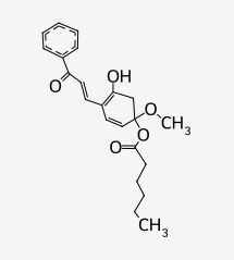 CCCCCC(=O)OC1(OC)C=CC(C=CC(=O)c2ccccc2)=C(O)C1